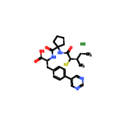 CCC(C)C(S)C(=O)NC1(C(=O)NC(Cc2ccc(-c3cncnc3)cc2)C(=O)O)CCCC1.Cl